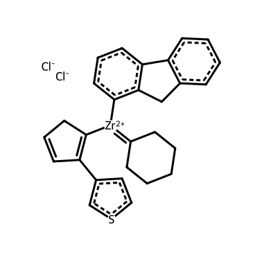 C1=CC(c2ccsc2)=[C]([Zr+2](=[C]2CCCCC2)[c]2cccc3c2Cc2ccccc2-3)C1.[Cl-].[Cl-]